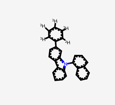 [2H]c1c([2H])c([2H])c(-c2ccc3c4ccccc4n(-c4cccc5ccccc45)c3c2)c([2H])c1[2H]